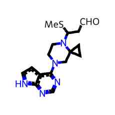 CSC(CC=O)N1CCN(c2ncnc3[nH]ccc23)CC12CC2